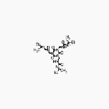 CC/C(C)=N/CNCn1c(=O)n(CNC(=O)/N=C(\C)CC)c(=O)n(CNC(=O)/N=C(\C)CC)c1=O